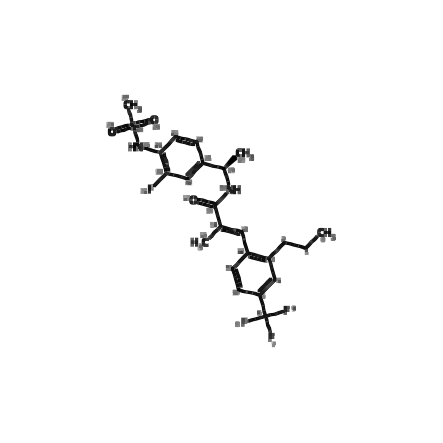 CCCc1cc(C(F)(F)F)ccc1/C=C(\C)C(=O)N[C@H](C)c1ccc(NS(C)(=O)=O)c(F)c1